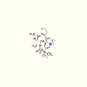 C[SiH](C)C1=[C]([Zr+2][c]2[nH]cc(C(C)(C)C)c2C(C)(C)C)CC=C1.[Cl-].[Cl-]